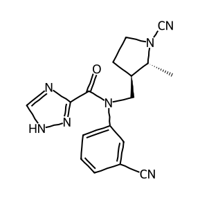 C[C@@H]1[C@@H](CN(C(=O)c2nc[nH]n2)c2cccc(C#N)c2)CCN1C#N